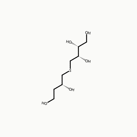 OCC[C@@H](O)CSC[C@@H](O)[C@H](O)CO